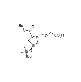 CC(C)(C)OC(=O)N1C[C@H](O[Si](C)(C)C(C)(C)C)C[C@H]1COCC(=O)O